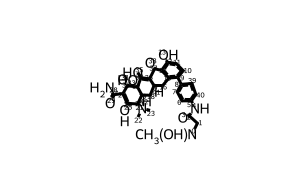 CN(O)CC(=O)Nc1ccc(-c2ccc(O)c3c2C[C@H]2C[C@H]4[C@H](N(C)C)C(O)=C(C(N)=O)C(=O)[C@@]4(O)C(O)=C2C3=O)cc1